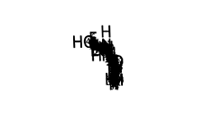 CCc1cc(O)c(F)cc1-c1ccc2c(-c3nc4c([nH]3)CCN(C(=O)c3cnc(N5C[C@H]6CN(C)C[C@H]6C5)cn3)C4)n[nH]c2c1